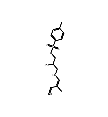 Cc1ccc(S(=O)(=O)OCC(O)CN/C=C(/I)C=N)cc1